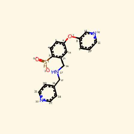 O=[SH](=O)c1ccc(Oc2cccnc2)cc1CNCc1ccncc1